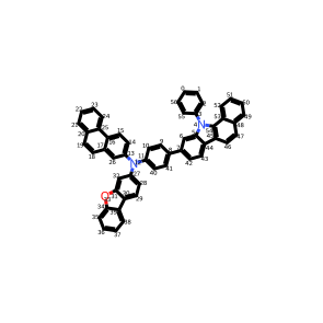 c1ccc(-n2c3cc(-c4ccc(N(c5ccc6c(ccc7ccccc76)c5)c5ccc6c(c5)oc5ccccc56)cc4)ccc3c3ccc4ccccc4c32)cc1